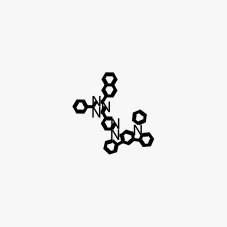 c1ccc(-c2nc(-c3ccc(-n4c5ccccc5c5cc6c7ccccc7n(-c7ccccc7)c6cc54)nc3)nc(-c3ccc4ccccc4c3)n2)cc1